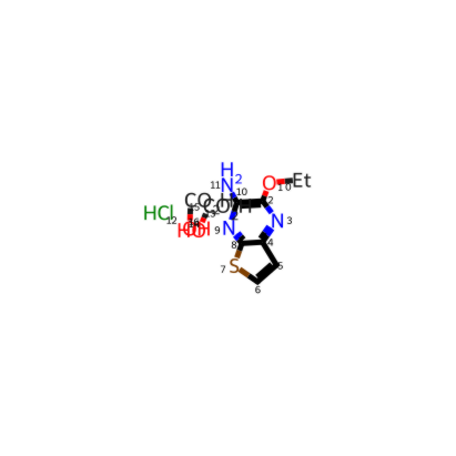 CCOc1nc2ccsc2nc1N.Cl.O=C(O)O.O=C(O)O